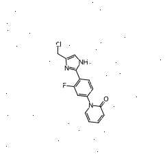 O=c1ccccn1-c1ccc(-c2nc(CCl)c[nH]2)c(F)c1